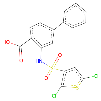 O=C(O)c1ccc(-c2ccccc2)cc1NS(=O)(=O)c1cc(Cl)sc1Cl